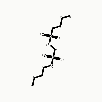 CCCCOS(=O)(=O)COS(=O)(=O)CCCC